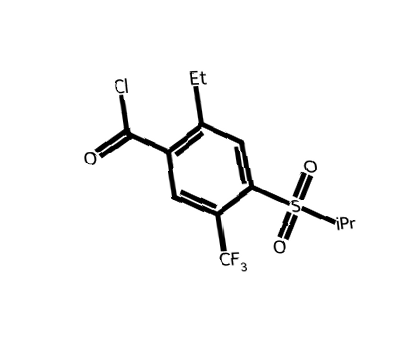 CCc1cc(S(=O)(=O)C(C)C)c(C(F)(F)F)cc1C(=O)Cl